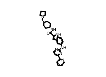 O=C(N[C@H]1CC[C@H](CN2CCCC2)CC1)c1cc2cc(Nc3nccc(-c4ccccn4)n3)ccc2[nH]1